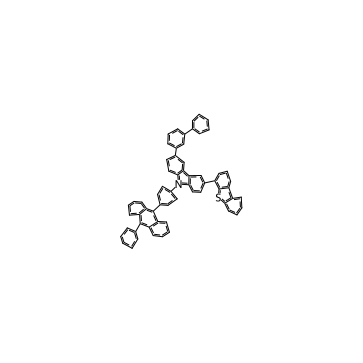 c1ccc(-c2cccc(-c3ccc4c(c3)c3cc(-c5cccc6c5sc5ccccc56)ccc3n4-c3ccc(-c4c5ccccc5c(-c5ccccc5)c5ccccc45)cc3)c2)cc1